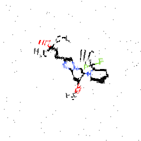 COc1cc2nc(CCC(C)(C)O)cn2cc1N1CC=CC=C1C(C)(F)F